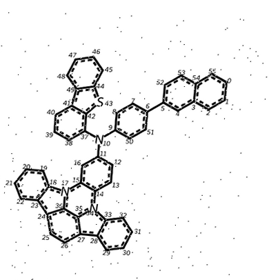 c1ccc2cc(-c3ccc(N(c4ccc5c(c4)n4c6ccccc6c6ccc7c8ccccc8n5c7c64)c4cccc5c4sc4ccccc45)cc3)ccc2c1